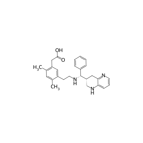 Cc1cc(C)c(CC(=O)O)cc1CCN[C@H](c1ccccc1)[C@H]1CNc2cccnc2C1